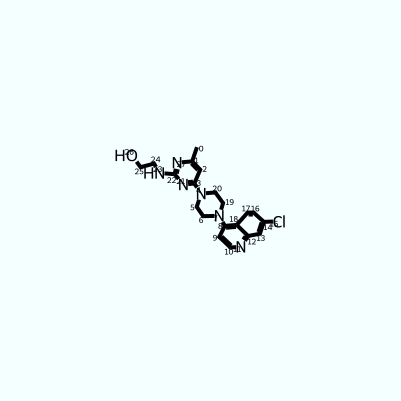 Cc1cc(N2CCN(c3ccnc4cc(Cl)ccc34)CC2)nc(NCCO)n1